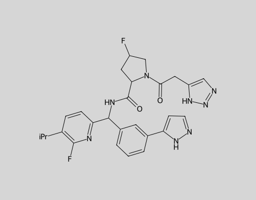 CC(C)c1ccc(C(NC(=O)C2CC(F)CN2C(=O)Cc2cnn[nH]2)c2cccc(-c3ccn[nH]3)c2)nc1F